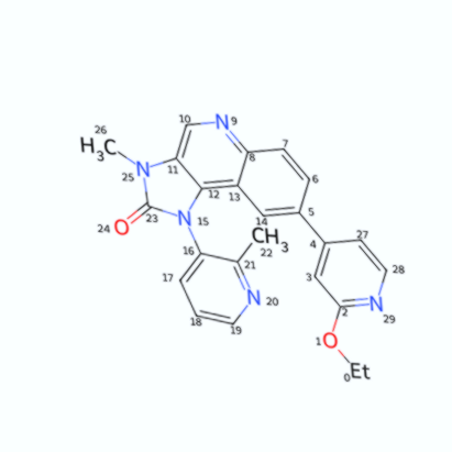 CCOc1cc(-c2ccc3ncc4c(c3c2)n(-c2cccnc2C)c(=O)n4C)ccn1